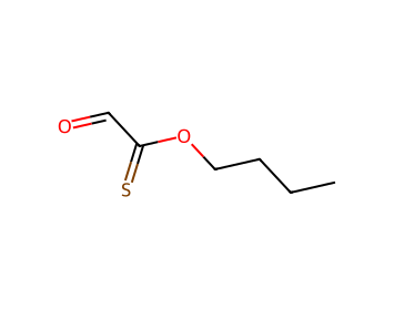 CCCCOC(=S)C=O